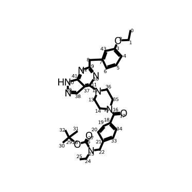 CCOc1cccc(Cc2nc(N3CCN(C(=O)c4ccc(CN(CC)C(=O)OC(C)(C)C)cc4)CC3)c3cn[nH]c3n2)c1